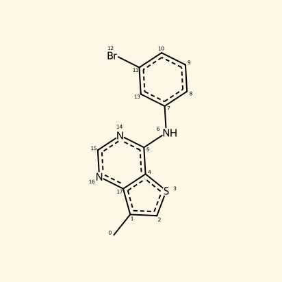 Cc1csc2c(Nc3cccc(Br)c3)ncnc12